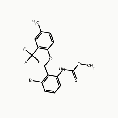 COC(=S)Nc1cccc(Br)c1COc1ccc(C)cc1C(F)(F)F